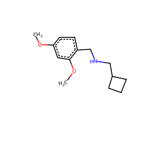 COc1ccc(CNCC2CCC2)c(OC)c1